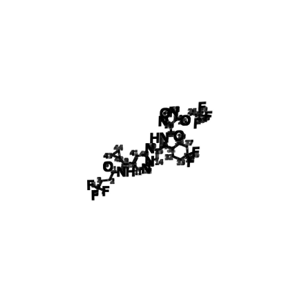 O=C(CCC(F)(F)F)N[C@@H](c1cnn2cc([C@@H](NC(=O)c3nonc3OCC(F)(F)F)C3CCC(F)(F)CC3)nc2c1)C1CC1